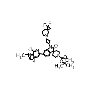 CCn1cnc2cc(-c3ccc4c(c3)N([C@H]3C[C@@H](N5CCCC6(C5)CC6(F)F)C3)C(=O)C43CCN(C(=O)OC(C)(C)C)CC3)nc(Cl)c21